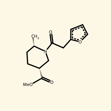 COC(=O)[C@@H]1CC[C@H](C)N(C(=O)Cc2ccco2)C1